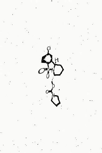 O=C(OC[C@H]1CCC[C@H]2c3cc(Cl)ccc3S(=O)(=O)N12)N1CCCC1